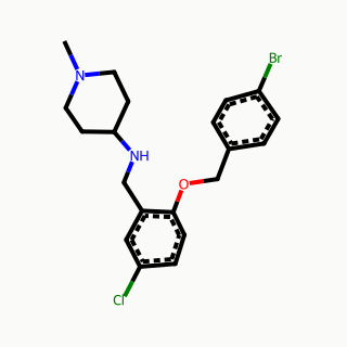 CN1CCC(NCc2cc(Cl)ccc2OCc2ccc(Br)cc2)CC1